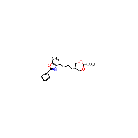 Cc1oc(-c2ccccc2)nc1CCCC[C@H]1CO[C@H](C(=O)O)OC1